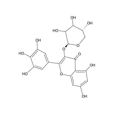 O=c1c(O[C@@H]2OC[C@@H](O)C(O)C2O)c(-c2cc(O)c(O)c(O)c2)oc2cc(O)cc(O)c12